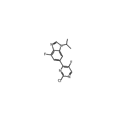 CC(C)n1cnc2c(F)cc(-c3nc(Cl)ncc3F)cc21